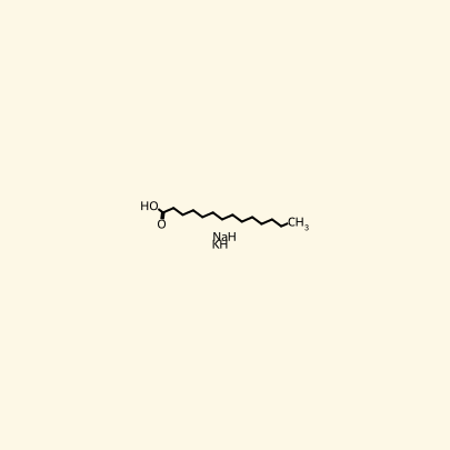 CCCCCCCCCCCCCC(=O)O.[KH].[NaH]